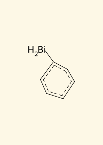 [BiH2][c]1ccccc1